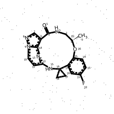 C[C@H]1CNC(=O)c2cnn3ccc(nc23)NC2(CC2)c2cc(F)ccc2O1